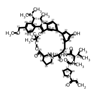 C=CC(=O)N1CC[C@H](C(=O)N(C)[C@H](C(=O)N[C@H]2Cc3cc(O)cc(c3)-c3ccc4c(c3)c(c(-c3ccc(COC)cc3CN(C)C)n4CC)CC(C)(C)COC(=O)[C@@H]3CCCN(N3)C2=O)C(C)C)C1